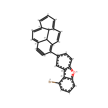 Brc1cccc2oc3ccc(C4=C5C=CC6=CC=CC7=CC=C(C#C4)C5C67)cc3c12